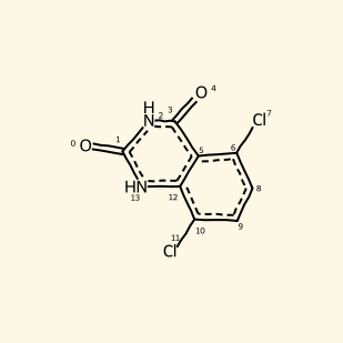 O=c1[nH]c(=O)c2c(Cl)ccc(Cl)c2[nH]1